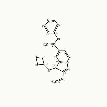 C=Cc1cc2ccc(C(=C)Cc3ccccc3)cc2n1CC1CCC1